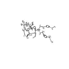 C=C(C(=O)N(CCOCC)CCOCC)c1cc[c]c(C(F)(F)F)c1C(F)(F)F